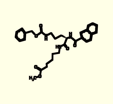 COC(=O)CCCCCNC(=O)[C@H](CCCNC(=O)OCc1ccccc1)NC(=O)c1ccc2ccccc2c1